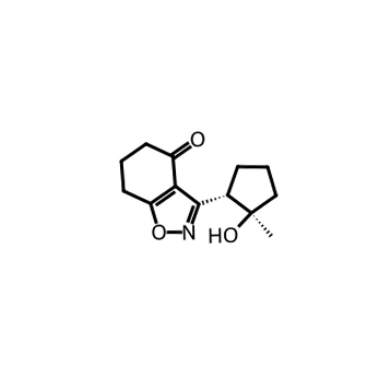 C[C@@]1(O)CCC[C@H]1c1noc2c1C(=O)CCC2